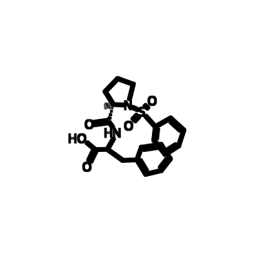 O=C(O)C(Cc1ccccc1)NC(=O)[C@@H]1CCCN1S(=O)(=O)c1ccccc1